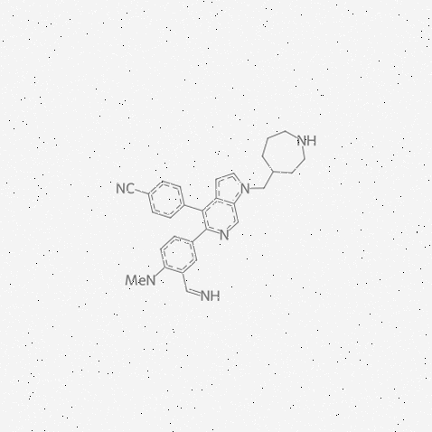 CNc1ccc(-c2ncc3c(ccn3CC3CCCNCC3)c2-c2ccc(C#N)cc2)cc1C=N